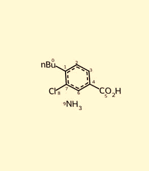 CCCCc1ccc(C(=O)O)cc1Cl.N